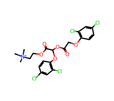 C[N+](C)(C)CCOC(=O)C(OC(=O)COc1ccc(Cl)cc1Cl)Oc1ccc(Cl)cc1Cl